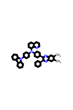 Cc1cc2nc(-c3ccccc3)c(-c3ccc(N(c4ccc(-n5c6ccccc6c6ccccc65)cc4)c4cccc5cccnc45)cc3)nc2cc1C